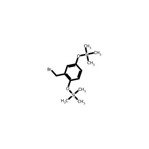 C[Si](C)(C)Oc1ccc(O[Si](C)(C)C)c(CBr)c1